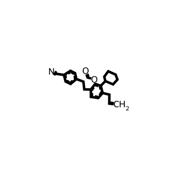 C=CCc1ccc(CCc2ccc(C#N)cc2)c(OC=O)c1C1CCCCC1